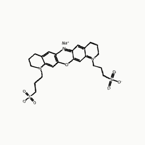 O=S(=O)([O-])CCCN1CCCc2cc3c(cc21)Oc1cc2c(cc1=N3)CCC[N+]=2CCCS(=O)(=O)[O-].[Na+]